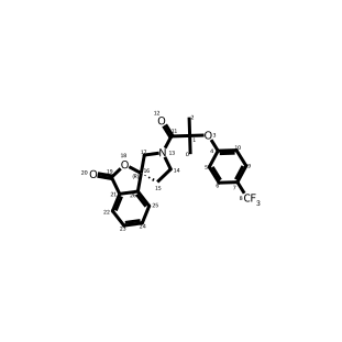 CC(C)(Oc1ccc(C(F)(F)F)cc1)C(=O)N1CC[C@@]2(C1)OC(=O)c1ccccc12